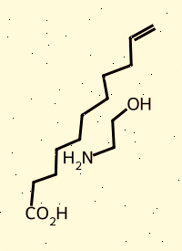 C=CCCCCCCCCC(=O)O.NCCO